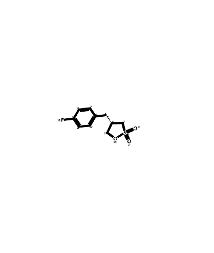 O=S1(=O)C[C@@H](Cc2ccc(F)cc2)CO1